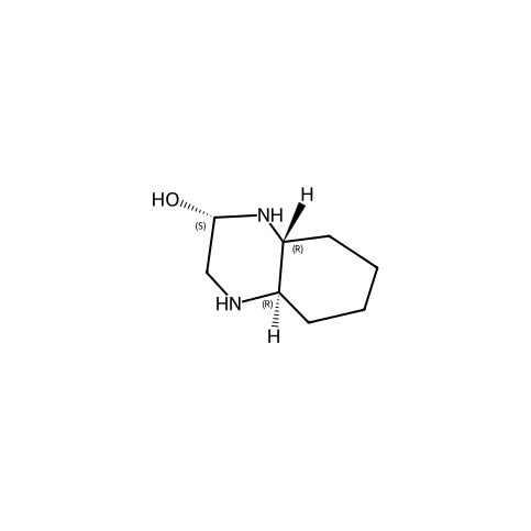 O[C@H]1CN[C@@H]2CCCC[C@H]2N1